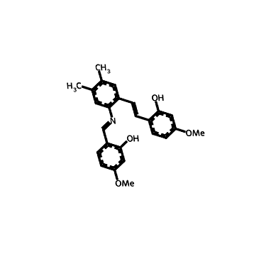 COc1ccc(/C=C/c2cc(C)c(C)cc2/N=C/c2ccc(OC)cc2O)c(O)c1